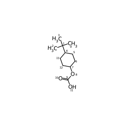 CC(C)(C)C1CCC(OC(=O)O)CC1